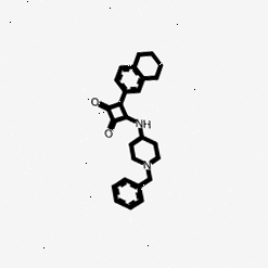 O=C1C(=O)C(c2ccc3c(c2)CCCC3)C1NC1CCN(Cc2ccccc2)CC1